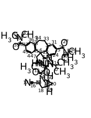 CC(C)n1nc(C2(C[C@H](C)NCC(=O)N3[C@H](C#N)C[C@@H]4C[C@@H]43)c3ccc(C(=O)N(C)C)cc3CCc3cc(C(=O)N(C)C)ccc32)[nH]c1=O